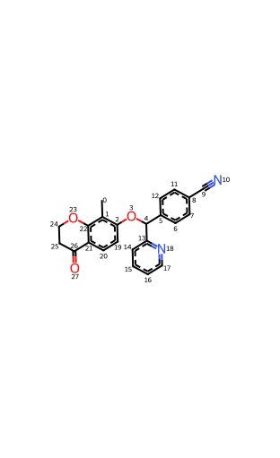 Cc1c(OC(c2ccc(C#N)cc2)c2ccccn2)ccc2c1OCCC2=O